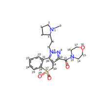 CN1CCCC1CCn1nc(C(=O)N2CCOCC2)c2c1-c1ccccc1S(=O)(=O)C2